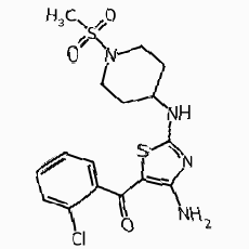 CS(=O)(=O)N1CCC(Nc2nc(N)c(C(=O)c3ccccc3Cl)s2)CC1